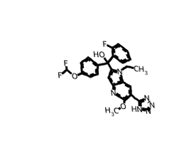 CCn1c(C(O)(c2ccc(OC(F)F)cc2)c2ccccc2F)cc2nc(OC)c(-c3nnn[nH]3)cc21